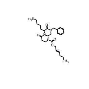 CCC/C=C/COC(=O)N1CCC(=O)N2C(CCCCN)C(=O)N(Cc3ccccc3)CC12